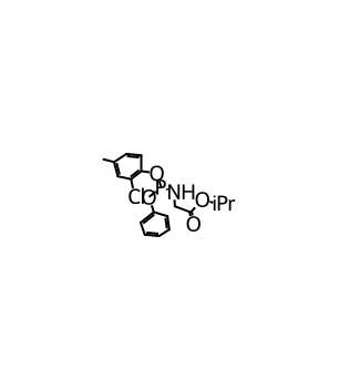 Cc1ccc(OP(NCC(=O)OC(C)C)Oc2ccccc2)c(Cl)c1